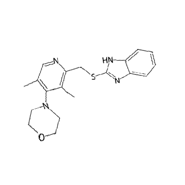 Cc1cnc(CSc2nc3ccccc3[nH]2)c(C)c1N1CCOCC1